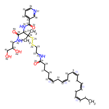 CC/C=C\C/C=C\C/C=C\C/C=C\C/C=C\CCCC(=O)NCCSSC(C)(C)C(NC(=O)c1cccnc1)C(=O)NCC(O)CO